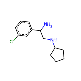 NC(CNC1CCCC1)c1cccc(Cl)c1